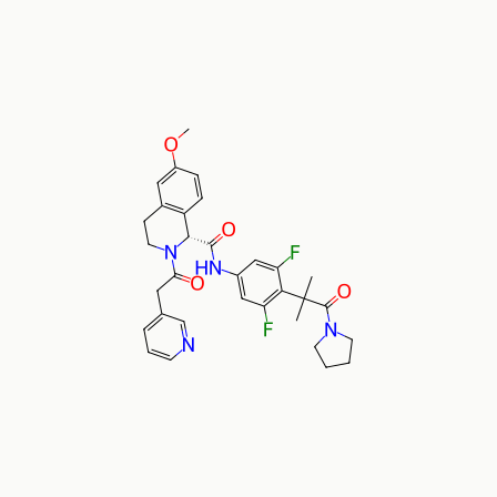 COc1ccc2c(c1)CCN(C(=O)Cc1cccnc1)[C@H]2C(=O)Nc1cc(F)c(C(C)(C)C(=O)N2CCCC2)c(F)c1